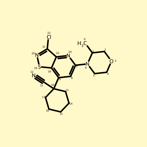 CC1COCCN1c1cc(C2(C#N)CCCCC2)c2snc(Cl)c2n1